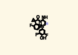 N=C(/C=C\Nc1cc(F)c(O)c(F)c1)NC(=O)C1(c2ccccc2F)CC1